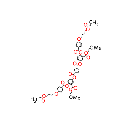 C=CC(=O)OCCCCOc1ccc(C(=O)Oc2ccc(OC(=O)C3CCC(C(=O)Oc4ccc(OC(=O)c5ccc(OCCCCOC(=O)C=C)cc5)c(C(=O)OCCOC)c4)C3)cc2C(=O)OCCOC)cc1